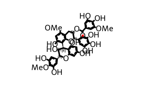 COc1cc(C(=O)O[C@@H]2Cc3c(OC)cc(O)c([C@H]4c5c(O)cc(O)cc5O[C@H](c5cc(O)c(OC)c(O)c5)[C@@H]4O)c3O[C@@H]2c2cc(O)c(O)c(O)c2)cc(O)c1O